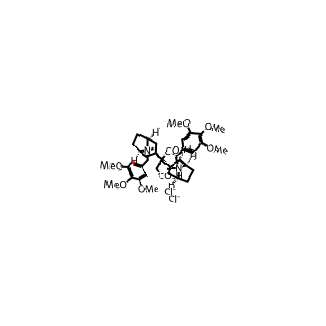 COc1cc(C[N+]2(C)[C@@H]3CC[C@H]2CC(C(CC(=O)O)(C(=O)O)C2C[C@H]4CC[C@@H](C2)[N+]4(C)Cc2cc(OC)c(OC)c(OC)c2)C3)cc(OC)c1OC.[Cl-].[Cl-]